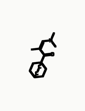 C/C(=C/N(C)C)C(=O)C12CCC(CC1)CC2